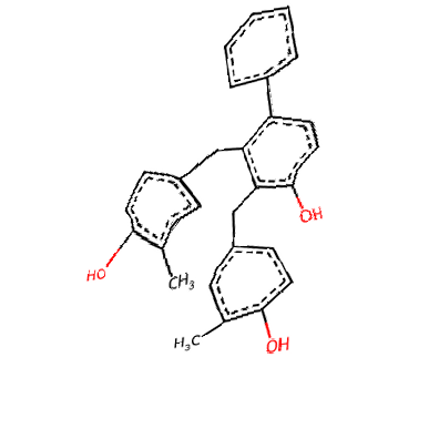 Cc1cc(Cc2c(O)ccc(-c3ccccc3)c2Cc2ccc(O)c(C)c2)ccc1O